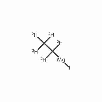 [2H]C([2H])([2H])[C]([2H])([2H])[Mg][I]